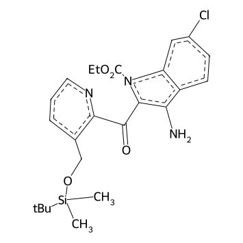 CCOC(=O)n1c(C(=O)c2ncccc2CO[Si](C)(C)C(C)(C)C)c(N)c2ccc(Cl)cc21